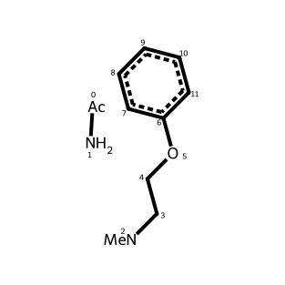 CC(N)=O.CNCCOc1ccccc1